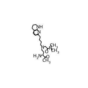 CC(=O)[C@@H](N)CCN(CCCCc1ccc2c(n1)NCCC2)CC(=O)N(C)C